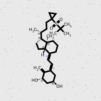 C=C1/C(=C\C=C2/CCC[C@]3(C)[C@@H]([C@H](C)CCC4(S(=O)(=O)C(C)(C)C)CC4)CC[C@@H]23)C[C@@H](O)C[C@@H]1O